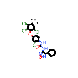 O=C(Nc1ccc(Oc2c(Cl)cc(C(F)(F)F)c(Cl)c2Cl)cc1Cl)Nc1nonc1-c1ccccc1